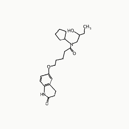 CCC(O)CN(C(=O)CCCCOc1ccc2c(c1)CCC(=O)N2)C1CCCC1